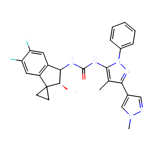 Cc1c(-c2cnn(C)c2)nn(-c2ccccc2)c1NC(=O)NC1c2cc(F)c(F)cc2C2(CC2)[C@@H]1O